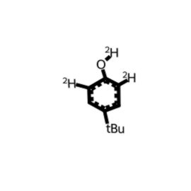 [2H]Oc1c([2H])cc(C(C)(C)C)cc1[2H]